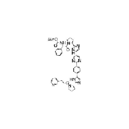 COC(=O)N[C@@H](C(=O)N1CCC[C@H]1c1ncc(-c2cnc(-c3ccc(-c4cnc([C@@H]5CCCN5OCCc5cccnc5)[nH]4)cc3)nc2)[nH]1)c1ccccc1